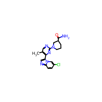 Cc1cnc(N2CCCC(C(N)=O)C2)nc1-c1cnc2ccc(Cl)cn12